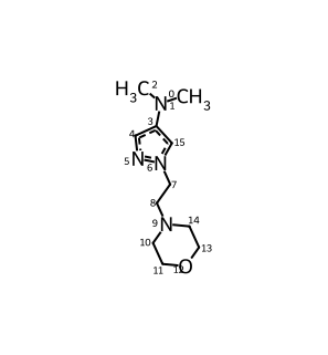 CN(C)c1cnn(CCN2CCOCC2)c1